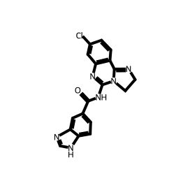 O=C(NC1=Nc2cc(Cl)ccc2C2=NCCN12)c1ccc2[nH]cnc2c1